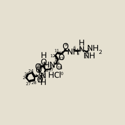 Cl.N=C(N)NCCNC(=O)c1ccc(C(=O)NCC(NS(=O)(=O)c2ccccc2)C(=O)O)o1